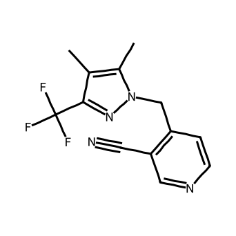 Cc1c(C(F)(F)F)nn(Cc2ccncc2C#N)c1C